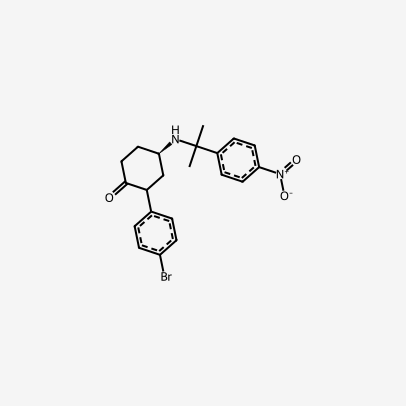 CC(C)(N[C@@H]1CCC(=O)C(c2ccc(Br)cc2)C1)c1ccc([N+](=O)[O-])cc1